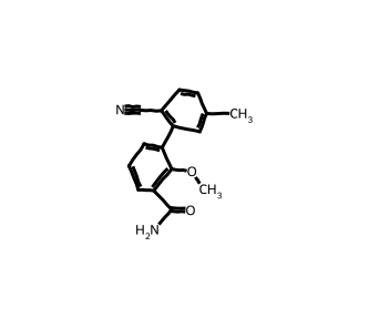 COc1c(C(N)=O)cccc1-c1cc(C)ccc1C#N